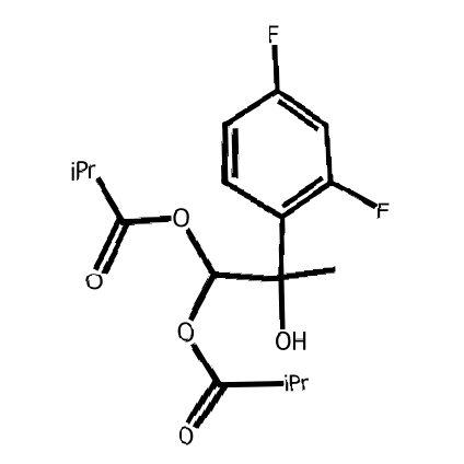 CC(C)C(=O)OC(OC(=O)C(C)C)C(C)(O)c1ccc(F)cc1F